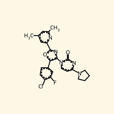 Cc1cc(C)nc(-c2nc(-n3ccc(N4CCCC4)nc3=O)c(-c3ccc(Cl)c(F)c3)o2)c1